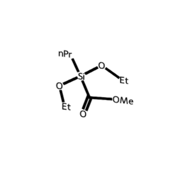 CCC[Si](OCC)(OCC)C(=O)OC